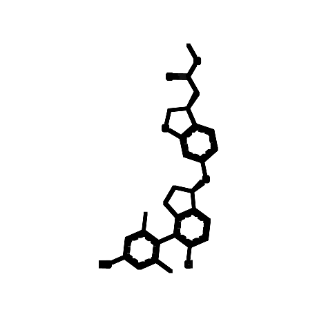 COC(=O)C[C@@H]1COc2cc(O[C@@H]3CCc4c3ccc(Cl)c4-c3c(C)cc(O)cc3C)ccc21